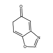 O=C1C=c2n[c]oc2=CC1